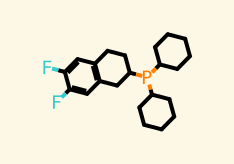 Fc1cc2c(cc1F)CC(P(C1CCCCC1)C1CCCCC1)CC2